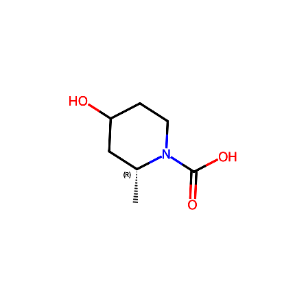 C[C@@H]1CC(O)CCN1C(=O)O